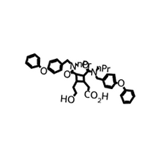 CCCN(Cc1ccc(Oc2ccccc2)cc1)C(=O)C1C(CCO)C(CC(=O)O)C1C(=O)N(CCC)Cc1ccc(Oc2ccccc2)cc1